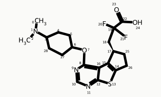 CN(C)C1CCC(Oc2ncnc3sc4c(c23)[C@@H](CC(F)(F)C(=O)O)CC4)CC1